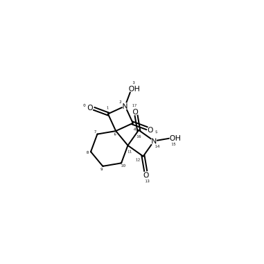 O=C1N(O)C(=O)C12CCCCC21C(=O)N(O)C1=O